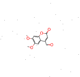 COc1cc2oc(=O)cc(C=O)c2cc1OC